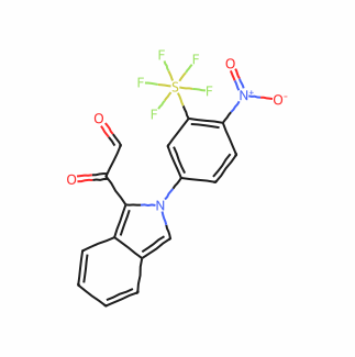 O=CC(=O)c1c2ccccc2cn1-c1ccc([N+](=O)[O-])c(S(F)(F)(F)(F)F)c1